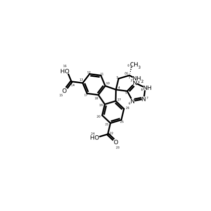 C[C@H](N)CC1(c2nn[nH]n2)c2ccc(C(=O)O)cc2-c2cc(C(=O)O)ccc21